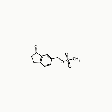 CS(=O)(=O)OCc1ccc2c(c1)C(=O)CC2